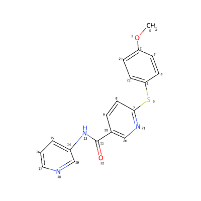 COc1ccc(Sc2ccc(C(=O)Nc3cccnc3)cn2)cc1